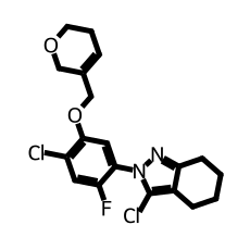 Fc1cc(Cl)c(OCC2=CCCOC2)cc1-n1nc2c(c1Cl)CCCC2